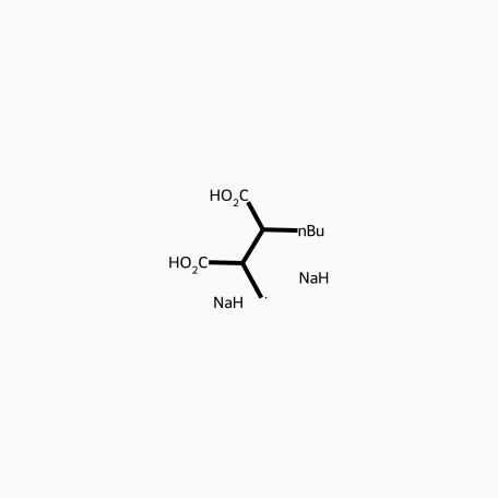 [CH2]C(C(=O)O)C(CCCC)C(=O)O.[NaH].[NaH]